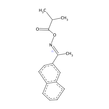 C/C(=N\OC(=O)C(C)C)c1ccc2ccccc2c1